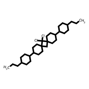 CCCC1CCC(C2CCC3(CC2)CC2(CCC(C4CCC(CCC)CC4)CC2)C3(Cl)Cl)CC1